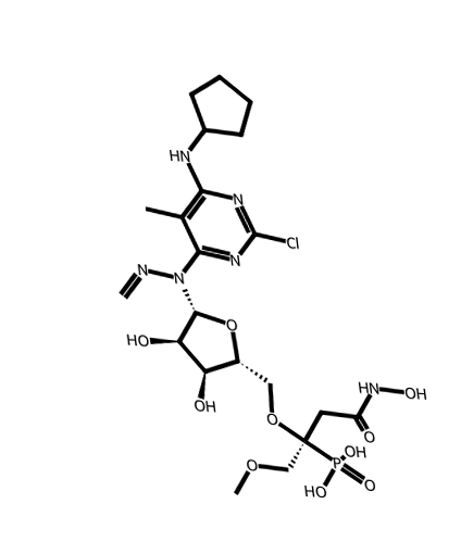 C=NN(c1nc(Cl)nc(NC2CCCC2)c1C)[C@@H]1O[C@H](CO[C@@](COC)(CC(=O)NO)P(=O)(O)O)[C@@H](O)[C@H]1O